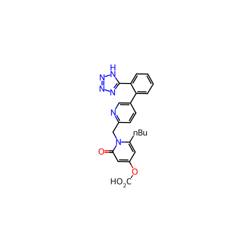 CCCCc1cc(OC(=O)O)cc(=O)n1Cc1ccc(-c2ccccc2-c2nnn[nH]2)cn1